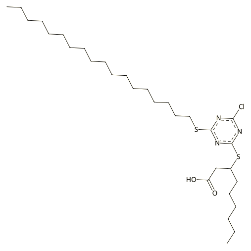 CCCCCCCCCCCCCCCCCCSc1nc(Cl)nc(SC(CCCCCC)CC(=O)O)n1